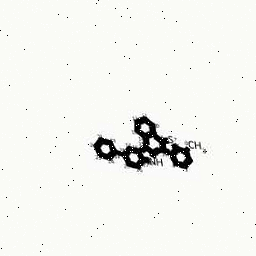 Cc1cccc2c1sc1c3ccccc3c3c4cc(-c5ccccc5)ccc4[nH]c3c21